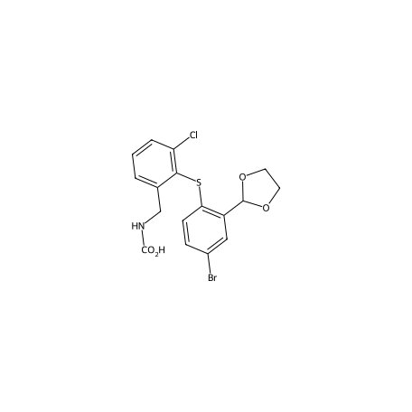 O=C(O)NCc1cccc(Cl)c1Sc1ccc(Br)cc1C1OCCO1